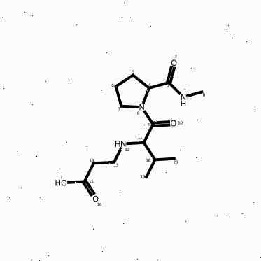 CNC(=O)C1CCCN1C(=O)C(NCCC(=O)O)C(C)C